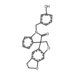 O=C1N(Cc2cccc(O)c2)c2ccccc2C12COc1cc3c(cc12)CCO3